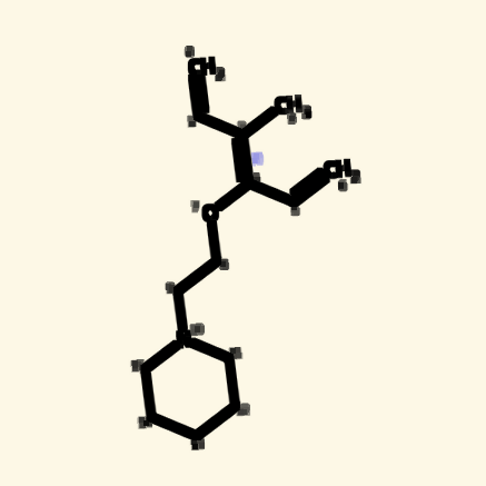 C=C/C(C)=C(/C=C)OCCN1CCCCC1